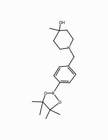 CC1(O)CCN(Cc2ccc(B3OC(C)(C)C(C)(C)O3)cc2)CC1